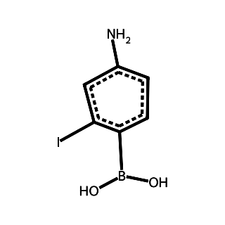 Nc1ccc(B(O)O)c(I)c1